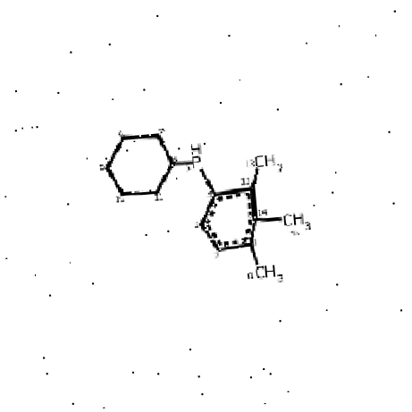 Cc1ccc(PC2CCCCC2)c(C)c1C